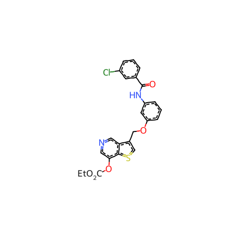 CCOC(=O)Oc1cncc2c(COc3cccc(NC(=O)c4cccc(Cl)c4)c3)csc12